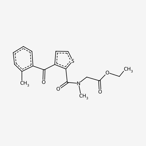 CCOC(=O)CN(C)C(=O)c1sccc1C(=O)c1ccccc1C